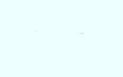 COCCC(C)CC/C=C(/C)CC/C=C(/C)CCl